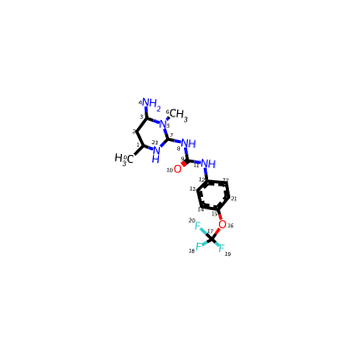 CC1CC(N)N(C)C(NC(=O)Nc2ccc(OC(F)(F)F)cc2)N1